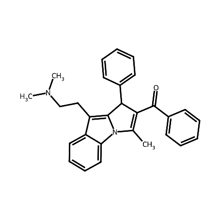 CC1=C(C(=O)c2ccccc2)C(c2ccccc2)c2c(CCN(C)C)c3ccccc3n21